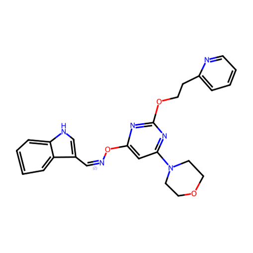 C(=N/Oc1cc(N2CCOCC2)nc(OCCc2ccccn2)n1)/c1c[nH]c2ccccc12